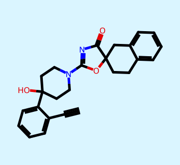 C#Cc1ccccc1C1(O)CCN(C2=NC(=O)C3(CCc4ccccc4C3)O2)CC1